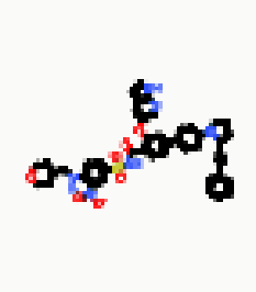 O=C(NS(=O)(=O)c1ccc(NCC2CCOCC2)c([N+](=O)[O-])c1)c1ccc(C2=CCC(N3CCCC3C#Cc3ccccc3)CC2)cc1Oc1cnc2[nH]ccc2c1